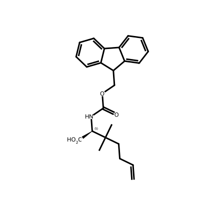 C=CCCC(C)(C)[C@H](NC(=O)OCC1c2ccccc2-c2ccccc21)C(=O)O